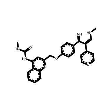 CN/C=C(\C(=N)c1ccc(OCc2cc(NC(=O)NC)c3ccccc3n2)cc1)c1ccncc1